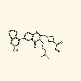 C=CC(=O)N1CC(Cc2nc3ccc(-c4cc(O)cc5ccccc45)cc3c(=O)n2CCCN(C)C)C1